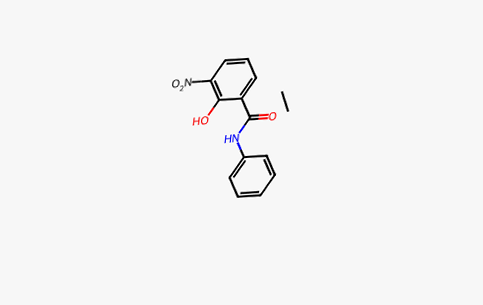 CC.O=C(Nc1ccccc1)c1cccc([N+](=O)[O-])c1O